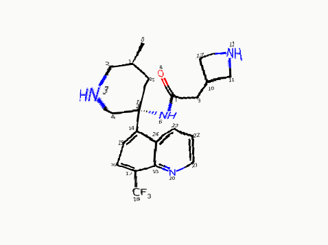 C[C@@H]1CNC[C@](NC(=O)CC2CNC2)(c2ccc(C(F)(F)F)c3ncccc23)C1